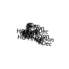 CCCCCCCCCCC[C@H](CC(=O)NCCO[C@@H]1OC(CO)[C@H](OP(=O)(O)O)C(OC(=O)C[C@@H](CCCCCCCCCCC)OC(=O)CCCCCCCCC)[C@@H]1NC(=O)C[C@@H](CCCCCCCCCCC)OC(=O)CCCCCCCCC)OC(=O)CCCCCCCCC